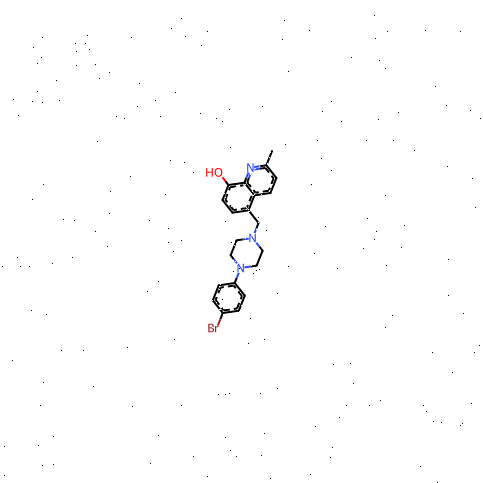 Cc1ccc2c(CN3CCN(c4ccc(Br)cc4)CC3)ccc(O)c2n1